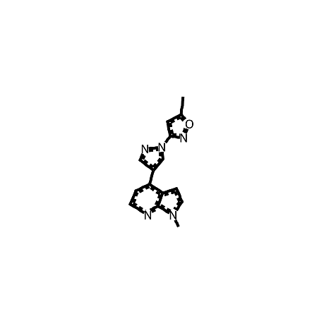 Cc1cc(-n2cc(-c3ccnc4c3ccn4C)cn2)no1